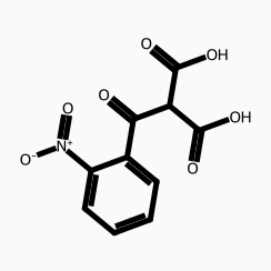 O=C(O)C(C(=O)O)C(=O)c1ccccc1[N+](=O)[O-]